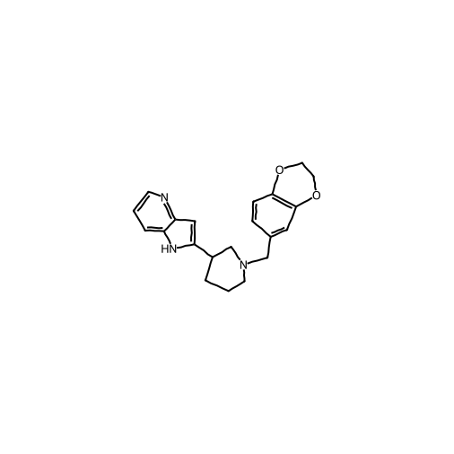 c1cnc2cc(C3CCCN(Cc4ccc5c(c4)OCCO5)C3)[nH]c2c1